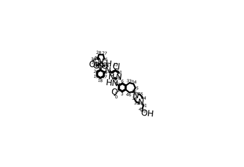 COc1cc2c(cc1Nc1ncc(Cl)c(Nc3ccccc3S(=O)(=O)N3CCC[C@H]3CO)n1)CCCC(N1CCN(CCO)CC1)C2